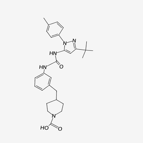 Cc1ccc(-n2nc(C(C)(C)C)cc2NC(=O)Nc2cccc(CC3CCN(C(=O)O)CC3)c2)cc1